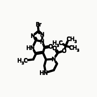 CCc1[nH]c2nc(Br)nn2c(=O)c1C1CNCCN1C(=O)OC(C)(C)C